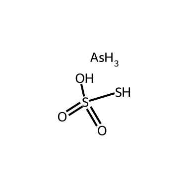 O=S(=O)(O)S.[AsH3]